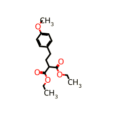 CCOC(=O)C(CCc1ccc(OC)cc1)C(=O)OCC